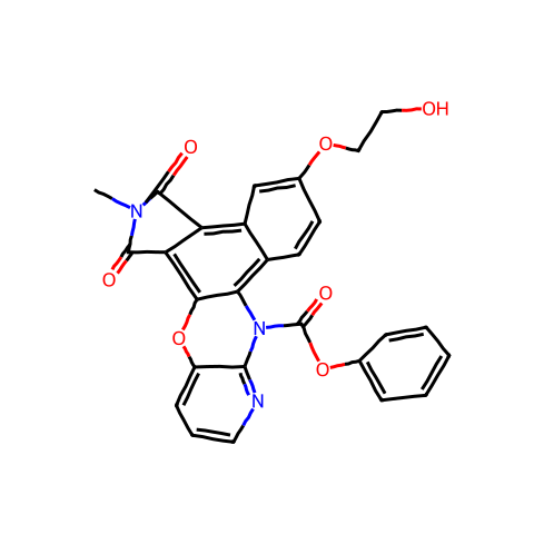 Cn1c(=O)c2c3cc(OCCO)ccc3c3c(oc4cccnc4n3C(=O)Oc3ccccc3)c2c1=O